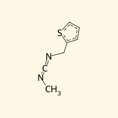 CN=C=NCc1cccs1